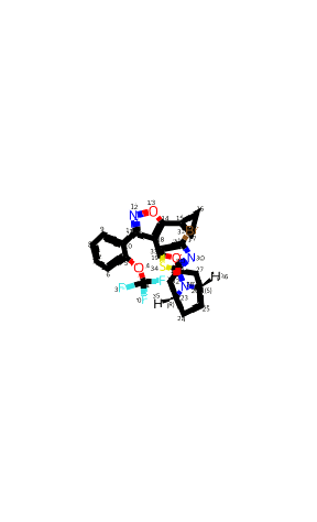 FC(F)(F)Oc1ccccc1-c1noc(C2CC2)c1CO[C@@H]1C[C@H]2CC[C@@H](C1)N2c1nc(Br)cs1